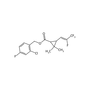 CC1(C)C(/C=C(\F)C(F)(F)F)C1C(=O)OCc1ccc(F)cc1Cl